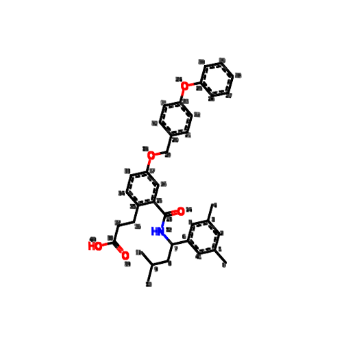 Cc1cc(C)cc(C(CC(C)C)NC(=O)c2cc(OCc3ccc(Oc4ccccc4)cc3)ccc2CCC(=O)O)c1